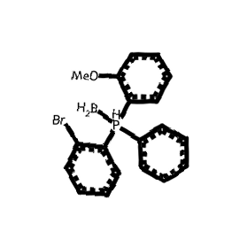 B[PH](c1ccccc1)(c1ccccc1Br)c1ccccc1OC